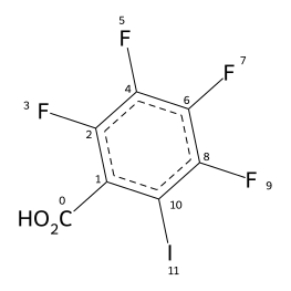 O=C(O)c1c(F)c(F)c(F)c(F)c1I